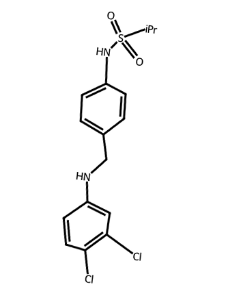 CC(C)S(=O)(=O)Nc1ccc(CNc2ccc(Cl)c(Cl)c2)cc1